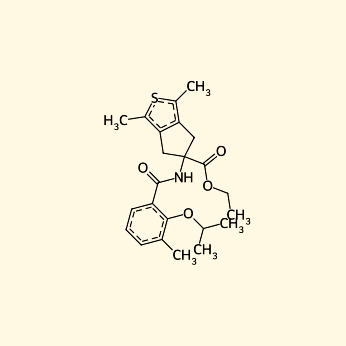 CCOC(=O)C1(NC(=O)c2cccc(C)c2OC(C)C)Cc2c(C)sc(C)c2C1